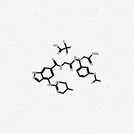 COC(=O)C[C@H](NC(=O)CNC(=O)c1cc(NC2=NCC(F)CN2)c2cn[nH]c2c1)c1cccc(OC(F)F)c1.O=C(O)C(F)(F)F